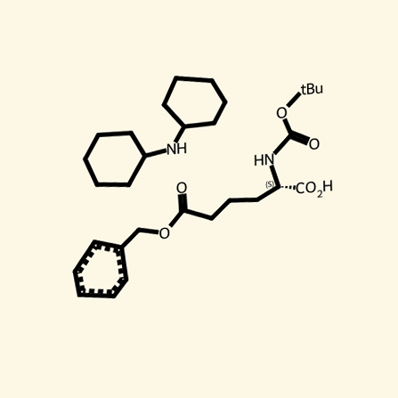 C1CCC(NC2CCCCC2)CC1.CC(C)(C)OC(=O)N[C@@H](CCCC(=O)OCc1ccccc1)C(=O)O